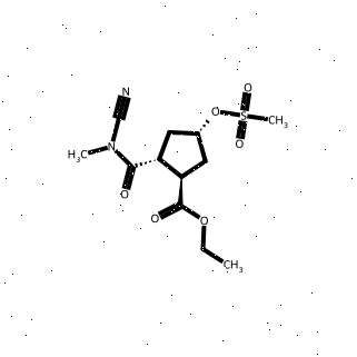 CCOC(=O)[C@@H]1C[C@@H](OS(C)(=O)=O)C[C@H]1C(=O)N(C)C#N